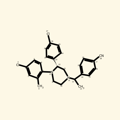 Cc1cc(Cl)ccc1N1CCN(C(C)c2ccc(C#N)cc2)C[C@H]1c1ccc(Cl)cc1